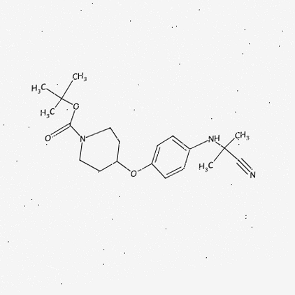 CC(C)(C#N)Nc1ccc(OC2CCN(C(=O)OC(C)(C)C)CC2)cc1